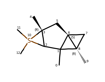 CC12C3[C@@](C)(C[C@]14C[C@@]24C)S3(C)C